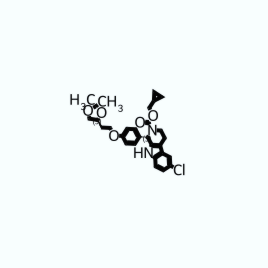 CC1(C)OC[C@H](CCOc2ccc([C@H]3c4[nH]c5ccc(Cl)cc5c4CCN3C(=O)OCC3CC3)cc2)O1